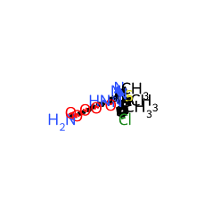 Cc1sc2c(c1C)C(c1ccc(Cl)cc1)=N[C@@H](CC(=O)NCCOCCOCCOC(N)=O)c1nnc(C)n1-2